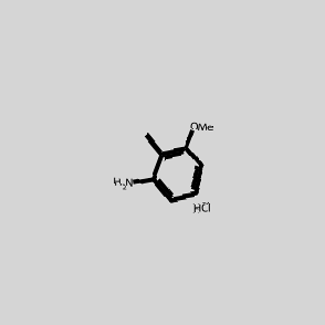 COc1cccc(N)c1C.Cl